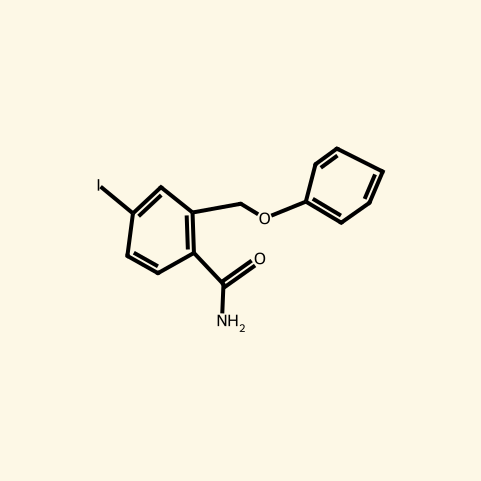 NC(=O)c1ccc(I)cc1COc1ccccc1